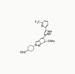 COc1cc2nn([C@H]3CC[C@H](C=O)CC3)cc2cc1N1C=C(c2cccc(C(F)(F)F)n2)NN1